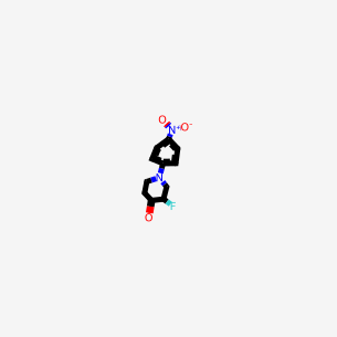 O=C1CCN(c2ccc([N+](=O)[O-])cc2)CC1F